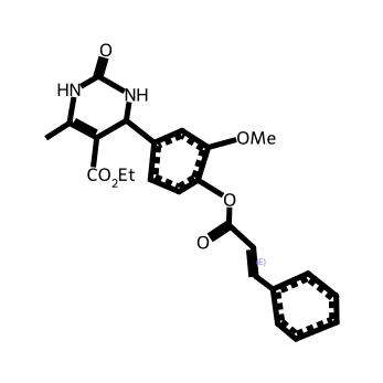 CCOC(=O)C1=C(C)NC(=O)NC1c1ccc(OC(=O)/C=C/c2ccccc2)c(OC)c1